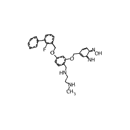 CNCCNCc1ccc(OCc2cccc(-c3ccccc3)c2F)cc1OCC1=CC(=N)/C(=N\O)C=C1